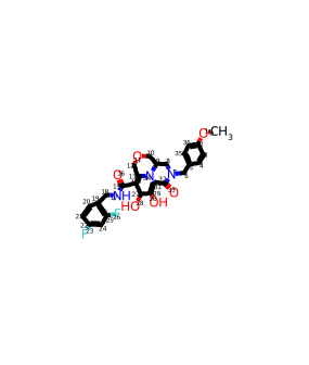 COc1ccc(CN2CC3COCC4=C(C(=O)NCc5ccc(F)cc5F)C(O)C(O)=C(C2=O)N43)cc1